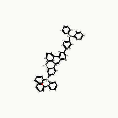 c1ccc(-c2ccccc2N(c2ccccc2)c2ccc3c(c2)Oc2cccc4c2c-3cc2ccc(-c3ccc(N(c5ccccc5)c5ccccc5)cc3)cc24)cc1